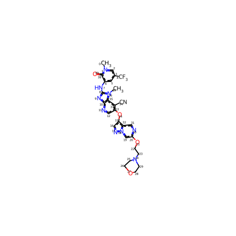 Cn1cc(C(F)(F)F)cc(Nc2nc3ncc(Oc4cnn5cc(OCCN6CCOCC6)ncc45)c(C#N)c3n2C)c1=O